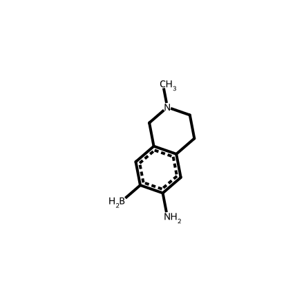 Bc1cc2c(cc1N)CCN(C)C2